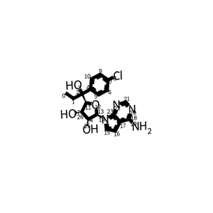 CCC(O)(c1ccc(Cl)cc1)[C@H]1O[C@@H](n2ccc3c(N)ncnc32)[C@H](O)[C@@H]1O